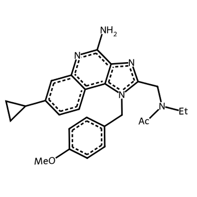 CCN(Cc1nc2c(N)nc3cc(C4CC4)ccc3c2n1Cc1ccc(OC)cc1)C(C)=O